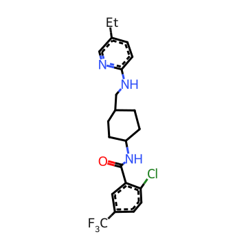 CCc1ccc(NCC2CCC(NC(=O)c3cc(C(F)(F)F)ccc3Cl)CC2)nc1